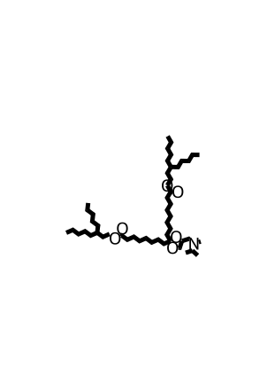 CCCCCC(CCCCC)CCOC(=O)CCCCCCCC1(CCCCCCCC(=O)OCCC(CCCCC)CCCCC)OCC(CN(C)C(C)C)O1